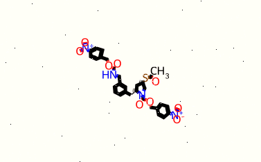 CC(=O)S[C@H]1C[C@@H](Cc2cccc(CNC(=O)OCc3ccc([N+](=O)[O-])cc3)c2)N(C(=O)OCc2ccc([N+](=O)[O-])cc2)C1